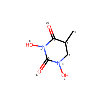 CC1CN(O)C(=O)N(O)C1=O